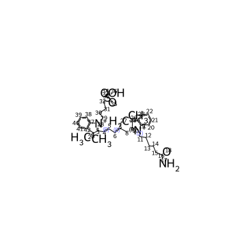 CC1(C)C(/C=C/C=C/C[C@H]2/[N+](=C/CCCCC(N)=O)c3ccccc3C2(C)C)=[N+](CCCCS(=O)(=O)O)c2ccccc21